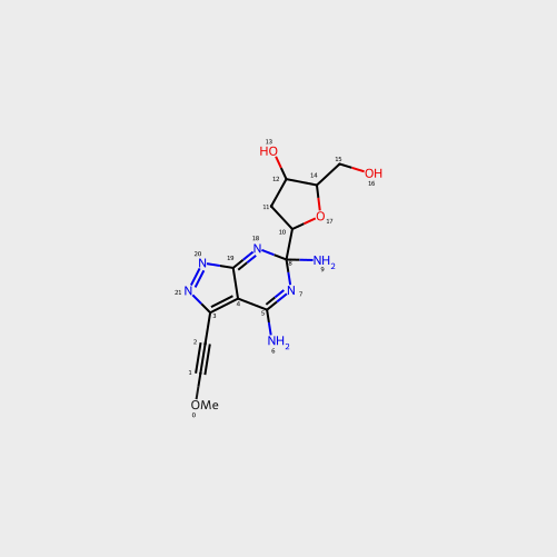 COC#CC1=C2C(N)=NC(N)(C3CC(O)C(CO)O3)N=C2N=N1